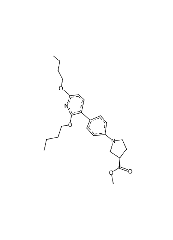 CCCCOc1ccc(-c2ccc(N3CC[C@@H](C(=O)OC)C3)cc2)c(OCCCC)n1